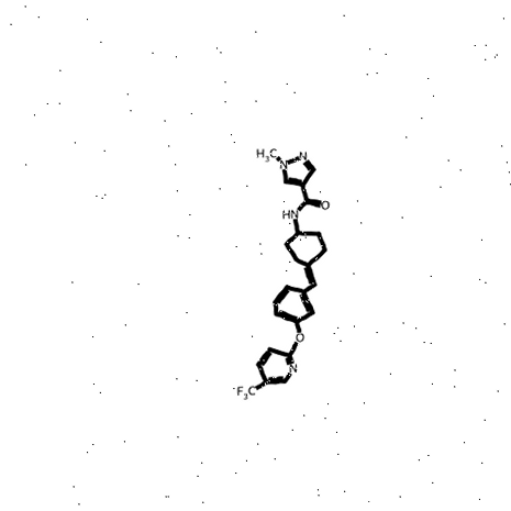 Cn1cc(C(=O)NC2CCC(=Cc3cccc(Oc4ccc(C(F)(F)F)cn4)c3)CC2)cn1